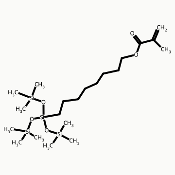 C=C(C)C(=O)OCCCCCCCC[Si](O[Si](C)(C)C)(O[Si](C)(C)C)O[Si](C)(C)C